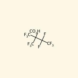 O=C(O)C(C(F)(F)F)(C(F)(F)F)C(F)(F)C(F)(F)F